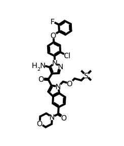 CS(C)(C)CCOCn1c(C(=O)c2cnn(-c3ccc(Oc4ccccc4F)cc3Cl)c2N)cc2cc(C(=O)N3CCOCC3)ccc21